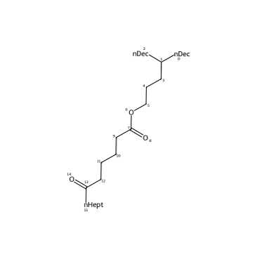 CCCCCCCCCCC(CCCCCCCCCC)CCCOC(=O)CCCCC(=O)CCCCCCC